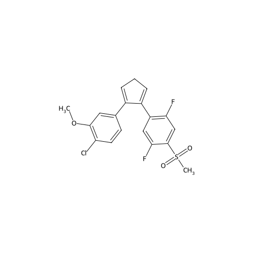 COc1cc(C2=CCC=C2c2cc(F)c(S(C)(=O)=O)cc2F)ccc1Cl